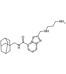 NCCCNCc1cn2c(C(=O)NCC34CC5CC(CC(C5)C3)C4)cccc2n1